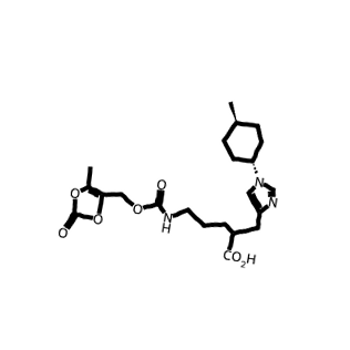 Cc1oc(=O)oc1COC(=O)NCCCC(Cc1cn([C@H]2CC[C@H](C)CC2)cn1)C(=O)O